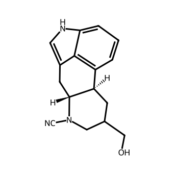 N#CN1CC(CO)C[C@@H]2c3cccc4[nH]cc(c34)C[C@H]21